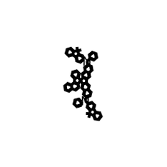 CC1(C)c2ccccc2-c2ccc(N(c3ccccc3)c3ccc4cc5c(cc4c3)C3(c4cc6cc(N(c7ccccc7)c7ccc8c(c7)C(C)(C)c7ccccc7-8)ccc6cc4-5)c4ccccc4-c4c3ccc3ccccc43)cc21